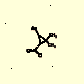 CC(=O)C1C(C(=O)Cl)C1(C)C